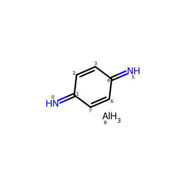 N=C1C=CC(=N)C=C1.[AlH3]